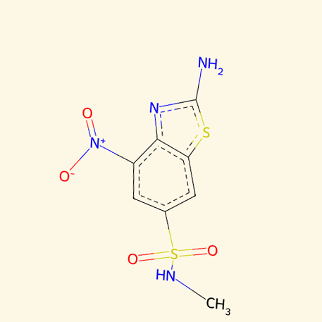 CNS(=O)(=O)c1cc([N+](=O)[O-])c2nc(N)sc2c1